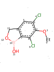 CCOc1c(Cl)cc2c(c1Cl)B(O)OC2